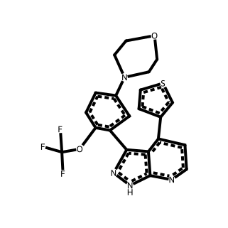 FC(F)(F)Oc1ccc(N2CCOCC2)cc1-c1n[nH]c2nccc(-c3ccsc3)c12